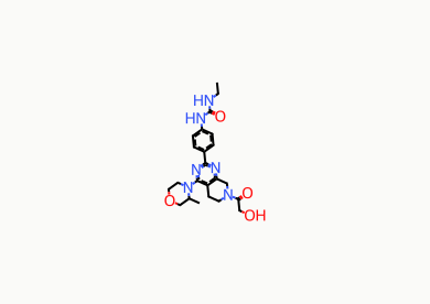 CCNC(=O)Nc1ccc(-c2nc3c(c(N4CCOCC4C)n2)CCN(C(=O)CO)C3)cc1